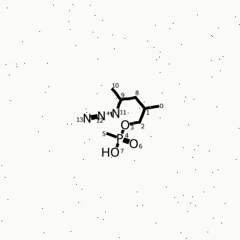 CC(COP(C)(=O)O)CC(C)N=[N+]=[N-]